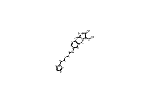 O=C1NC2=Nc3ccc(OCCCCCn4ccnc4)cc3CN2C1CO